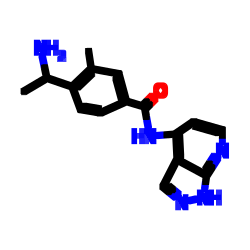 Cc1cc(C(=O)Nc2ccnc3[nH]ncc23)ccc1C(C)N